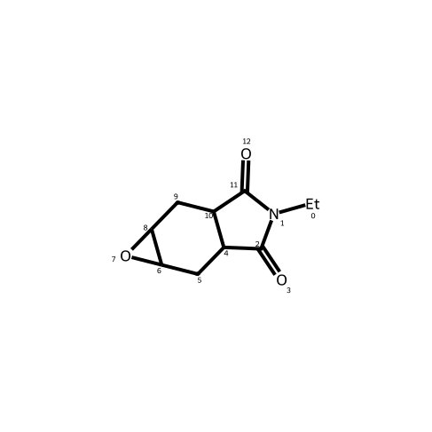 CCN1C(=O)C2CC3OC3CC2C1=O